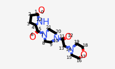 O=C1CCC(C(=O)N2CCN(C(=O)CN3CCOCC3)CC2)N1